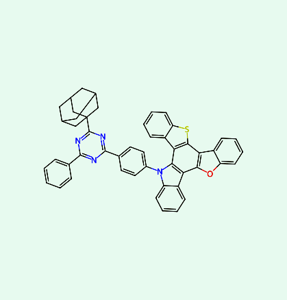 c1ccc(-c2nc(-c3ccc(-n4c5ccccc5c5c6oc7ccccc7c6c6sc7ccccc7c6c54)cc3)nc(C34CC5CC(CC(C5)C3)C4)n2)cc1